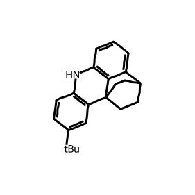 CC(C)(C)c1ccc2c(c1)C13CCC(CC1)c1cccc(c13)N2